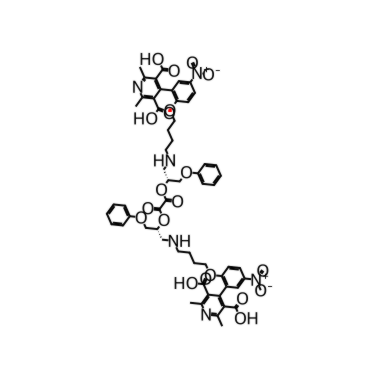 Cc1nc(C)c(C(=O)O)c(-c2cc([N+](=O)[O-])ccc2OCCCCNC[C@H](COc2ccccc2)OC(=O)C(=O)O[C@H](CNCCCCOc2ccc([N+](=O)[O-])cc2-c2c(C(=O)O)c(C)nc(C)c2C(=O)O)COc2ccccc2)c1C(=O)O